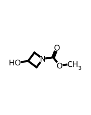 COC(=O)N1CC(O)C1